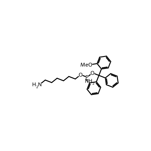 COc1ccccc1C(OP(N)OCCCCCCN)(c1ccccc1)c1ccccc1